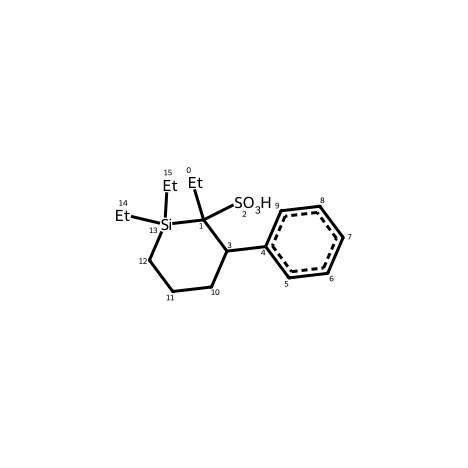 CCC1(S(=O)(=O)O)C(c2ccccc2)CCC[Si]1(CC)CC